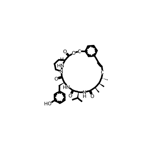 CC(C)[C@@H]1NC(=O)[C@H](C)[C@H](C)[C@@H](C)C/C=C/c2cccc(c2)COC(=O)[C@@H]2CCCN(N2)C(=O)[C@H](Cc2cccc(O)c2)NC1=O